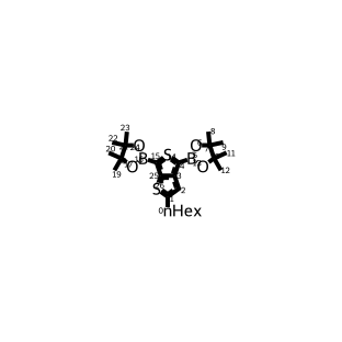 CCCCCCc1cc2c(B3OC(C)(C)C(C)(C)O3)sc(B3OC(C)(C)C(C)(C)O3)c2s1